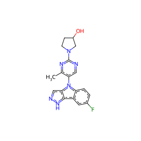 Cc1nc(N2CCC(O)C2)ncc1-n1c2ccc(F)cc2c2[nH]ncc21